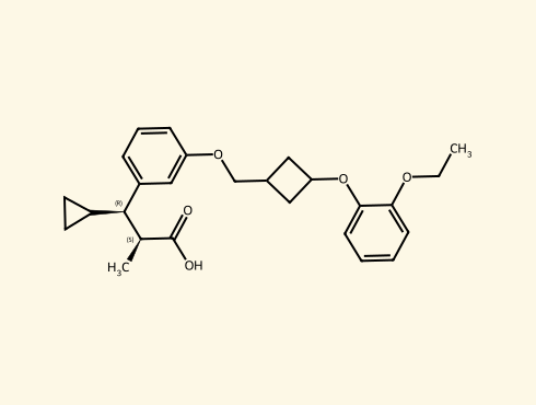 CCOc1ccccc1OC1CC(COc2cccc([C@H](C3CC3)[C@H](C)C(=O)O)c2)C1